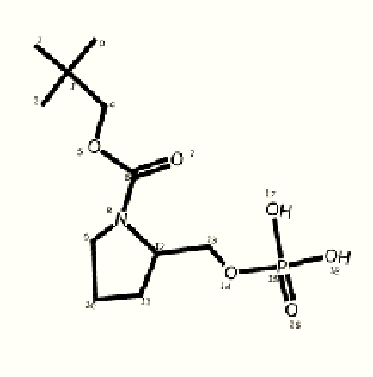 CC(C)(C)COC(=O)N1CCCC1COP(=O)(O)O